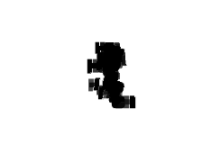 C[C@@](N)(CN1CC(Oc2ccc3c(c2C(=O)O)OB(O)[C@@H]2C[C@H]32)C1)C(=O)NCCO